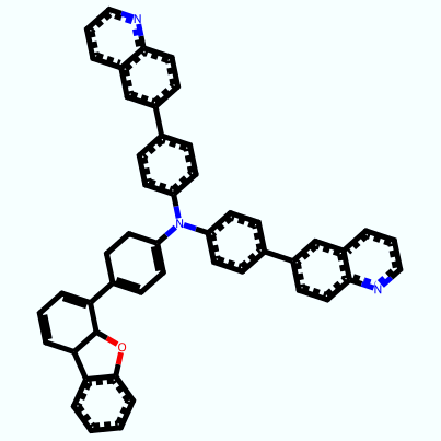 C1=CC2c3ccccc3OC2C(C2=CC=C(N(c3ccc(-c4ccc5ncccc5c4)cc3)c3ccc(-c4ccc5ncccc5c4)cc3)CC2)=C1